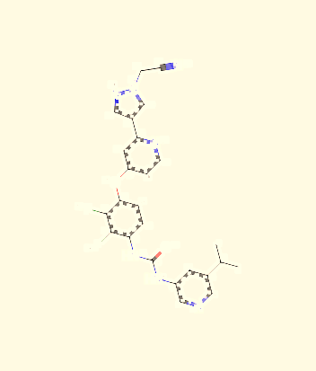 CC(C)c1cncc(NC(=O)Nc2ccc(Oc3ccnc(-c4cnn(CC#N)c4)c3)c(F)c2F)c1